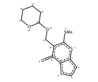 CSc1sc2ccsc2c(=O)c1COC1CCCCO1